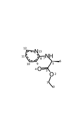 CCOC(=O)[C@H](C)Nc1ccccn1